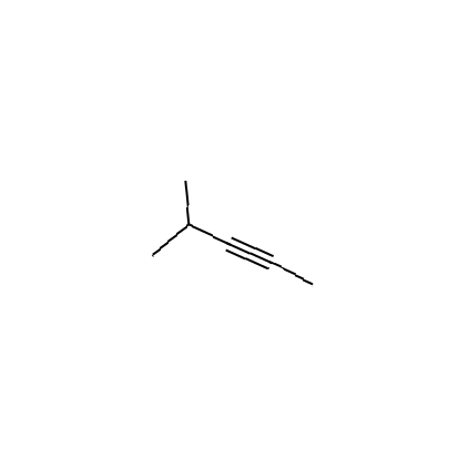 CC#CC(C)C